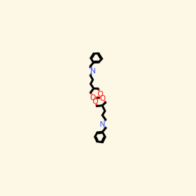 C(=NCCCC1COC2(OC1)OCC(CCCN=Cc1ccccc1)CO2)c1ccccc1